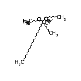 CCCCCCCCCCCCCCCCCCCCCCCC=CC(C(=C=[N+]=[N-])CCCCCC)=C(c1ccc(CCCCCC)cc1)c1cccc(CCCC)c1.[H-].[H-].[Ni]